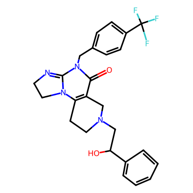 O=C1C2=C(CCN(CC(O)c3ccccc3)C2)N2CCN=C2N1Cc1ccc(C(F)(F)F)cc1